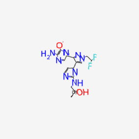 COc1nc(-c2nn(CC(F)F)cc2-c2ccnc(NC[C@H](C)O)n2)cnc1N